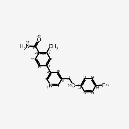 Cc1cc(-c2cncc(COc3ccc(F)cc3)c2)ccc1C(N)=O